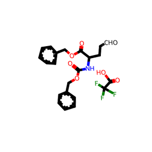 O=C(O)C(F)(F)F.O=CCCC(NC(=O)OCc1ccccc1)C(=O)OCc1ccccc1